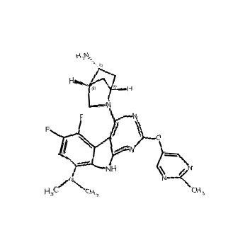 Cc1ncc(Oc2nc(N3C[C@H]4C[C@@H]3C[C@H]4N)c3c(n2)[nH]c2c(N(C)C)cc(F)c(F)c23)cn1